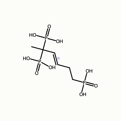 CC(/C=C/CCP(=O)(O)O)(P(=O)(O)O)P(=O)(O)O